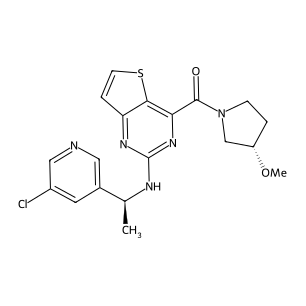 CO[C@H]1CCN(C(=O)c2nc(N[C@@H](C)c3cncc(Cl)c3)nc3ccsc23)C1